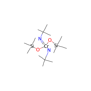 CC(C)(C)[N]=[Cr](=[N]C(C)(C)C)([O][Si](C)(C)C)[O][Si](C)(C)C